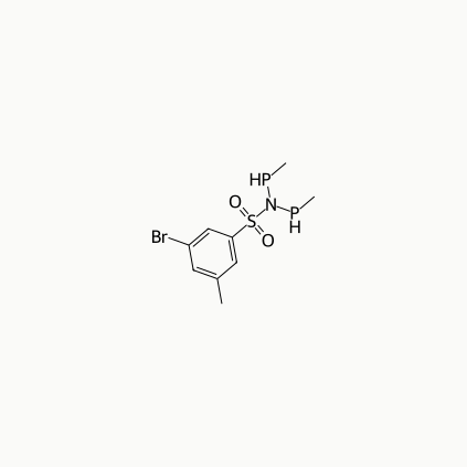 CPN(PC)S(=O)(=O)c1cc(C)cc(Br)c1